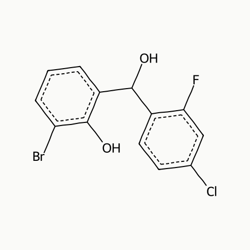 Oc1c(Br)cccc1C(O)c1ccc(Cl)cc1F